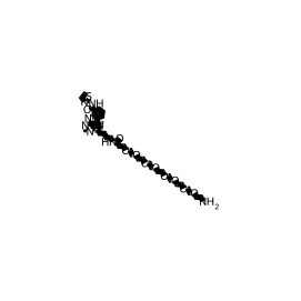 NCCOCCOCCOCCOCCOCCOCCOCCOCCC(=O)NCCCCn1nc(-c2cccc(C(=O)NC3=NCCS3)c2)c2c(N)ncnc21